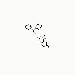 O=C(NCC(c1ccccc1)c1ccccc1)C1=Nc2ccc(C(=O)O)cc2S(=O)(=O)N1